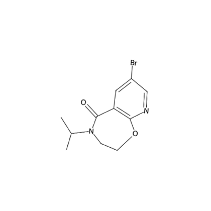 CC(C)N1CCOc2ncc(Br)cc2C1=O